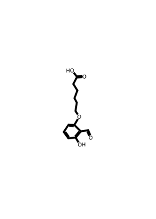 O=Cc1c(O)cccc1OCCCCCC(=O)O